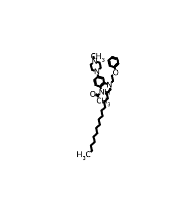 CCCCCCCCCCCCCCCCN(CCOc1ccccc1)c1cc(N2CCN(C)CC2)ccc1NC(C)=O